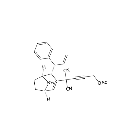 C=CC(c1ccccc1)[C@@H]1C(C(C#N)(C#N)C#CCOC(C)=O)=C[C@H]2CC[C@@H]1N2